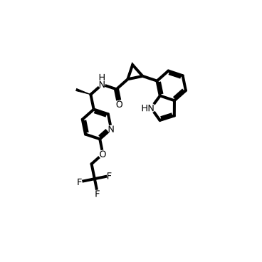 C[C@@H](NC(=O)C1CC1c1cccc2cc[nH]c12)c1ccc(OCC(F)(F)F)nc1